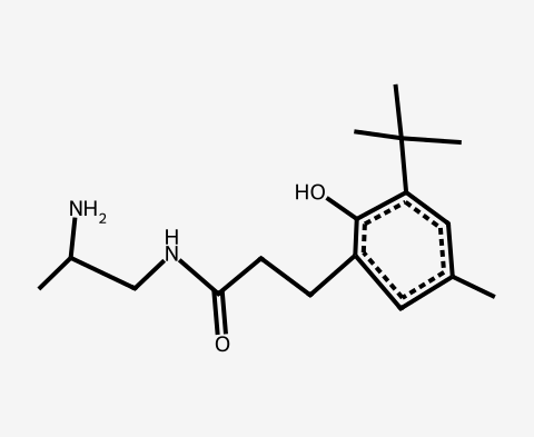 Cc1cc(CCC(=O)NCC(C)N)c(O)c(C(C)(C)C)c1